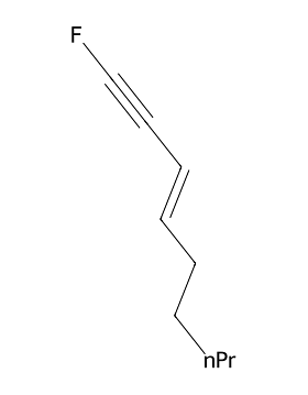 [CH2]CCCC/C=C/C#CF